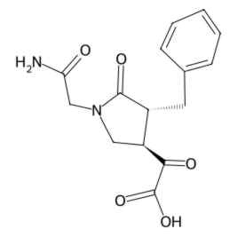 NC(=O)CN1C[C@H](C(=O)C(=O)O)[C@@H](Cc2ccccc2)C1=O